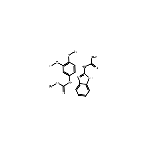 CCOc1ccc(NC(=O)OC(C)C)cc1OCC.COC(=O)Nc1nc2ccccc2[nH]1